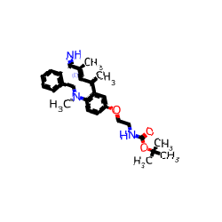 C/C(C=N)=C\C(C)c1cc(OCCNC(=O)OC(C)(C)C)ccc1N(C)Cc1ccccc1